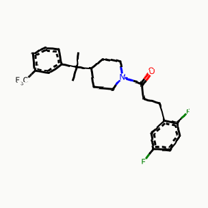 CC(C)(c1cccc(C(F)(F)F)c1)C1CCN(C(=O)CCc2cc(F)ccc2F)CC1